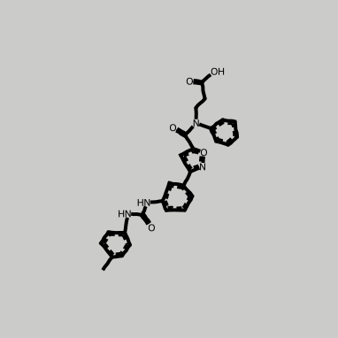 Cc1ccc(NC(=O)Nc2cccc(-c3cc(C(=O)N(CCC(=O)O)c4ccccc4)on3)c2)cc1